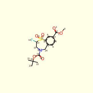 COC(=O)c1ccc2c(c1)S(=O)(=O)[C@H](F)CN(C(=O)OC(C)(C)C)C2